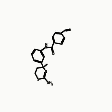 C=Cc1ccc(C(=O)Nc2cccc(C3(C)CCSC(N)=N3)c2)cc1